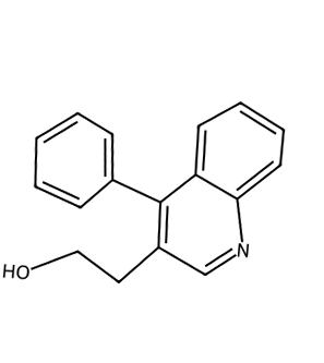 OCCc1cnc2ccccc2c1-c1ccccc1